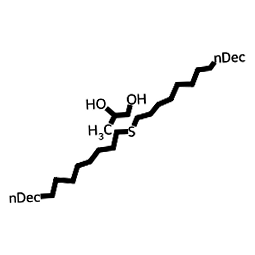 CC(O)CO.CCCCCCCCCCCCCCCCCCSCCCCCCCCCCCCCCCCCC